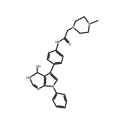 CN1CCN(CC(=O)Nc2ccc(-c3cn(-c4ccccc4)c4c3C(O)NC=N4)cc2)CC1